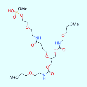 COCCOCCNC(=O)OCC(COC(=O)NCOCCOC)OCCCC(=O)NCCOCCOP(=O)(O)OC